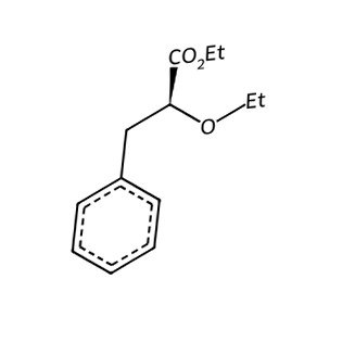 CCOC(=O)[C@H](Cc1ccccc1)OCC